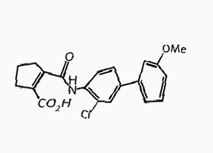 COc1cccc(-c2ccc(NC(=O)C3=C(C(=O)O)CCC3)c(Cl)c2)c1